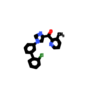 Cc1cccnc1C(=O)c1cn(-c2cccc(-c3ccccc3Cl)c2)cn1